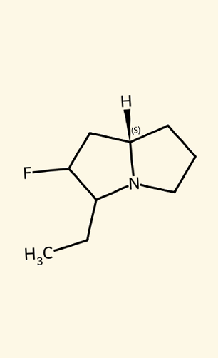 CCC1C(F)C[C@@H]2CCCN12